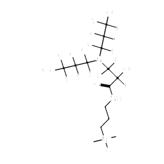 C[N+](C)([O-])CCCNC(=O)C(F)(C(F)(F)F)C(F)(F)N(C(F)(F)C(F)(F)C(F)(F)C(F)(F)F)C(F)(F)C(F)(F)C(F)(F)C(F)(F)F